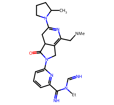 CCN(C=N)C(=N)c1cccc(N2CC3=C(CNC)N=C(N4CCCC4C)CC3C2=O)n1